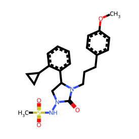 COc1ccc(CCCN2C(=O)N(NS(C)(=O)=O)CC2c2ccccc2C2CC2)cc1